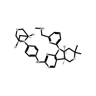 CNCc1cccc(N2c3nc(Nc4ccc(N5[C@@H]6COC[C@H]5C6)cc4)ncc3[C@]3(C)COC(C)(C)C[C@H]23)n1